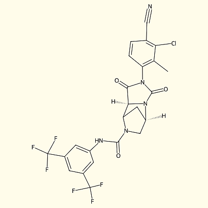 Cc1c(N2C(=O)[C@@H]3C4C[C@H](CN4C(=O)Nc4cc(C(F)(F)F)cc(C(F)(F)F)c4)N3C2=O)ccc(C#N)c1Cl